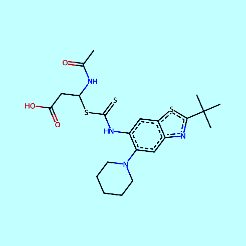 CC(=O)NC(CC(=O)O)SC(=S)Nc1cc2sc(C(C)(C)C)nc2cc1N1CCCCC1